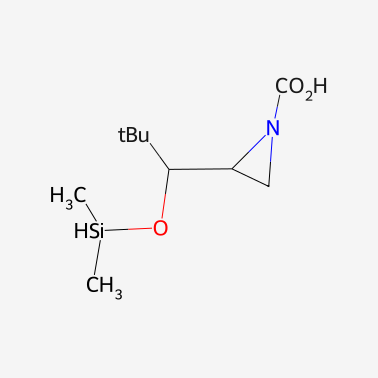 C[SiH](C)OC(C1CN1C(=O)O)C(C)(C)C